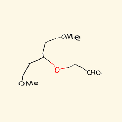 COCC(COC)OC[C]=O